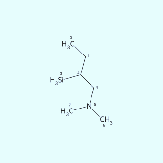 CCC([SiH3])CN(C)C